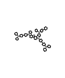 c1ccc(-c2ccc(N(c3ccccc3)c3ccc4c(c3)c3c5oc6c(ccc7c6c6ccccc6n7-c6ccc(-c7ccc(N(c8ccccc8)c8ccccc8)cc7)cc6)c5ccc3n4-c3ccc(-c4ccc(N(c5ccccc5)c5ccccc5)cc4)cc3)cc2)cc1